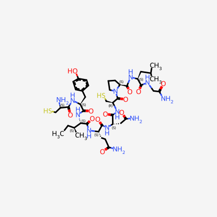 CC[C@H](C)[C@H](NC(=O)[C@H](Cc1ccc(O)cc1)NC(=O)[C@H](N)CS)C(=O)N[C@@H](CCC(N)=O)C(=O)N[C@@H](CC(N)=O)C(=O)N[C@@H](CS)C(=O)N1CCC[C@H]1C(=O)N[C@@H](CC(C)C)C(=O)NCC(N)=O